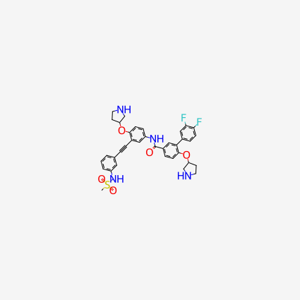 CS(=O)(=O)Nc1cccc(C#Cc2cc(NC(=O)c3ccc(OC4CCNC4)c(-c4ccc(F)c(F)c4)c3)ccc2OC2CCNC2)c1